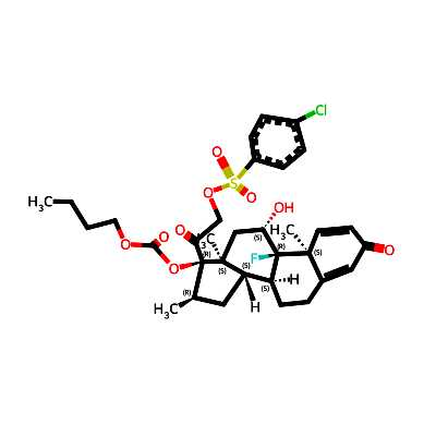 CCCCOC(=O)O[C@]1(C(=O)COS(=O)(=O)c2ccc(Cl)cc2)[C@H](C)C[C@H]2[C@@H]3CCC4=CC(=O)C=C[C@]4(C)[C@@]3(F)[C@@H](O)C[C@@]21C